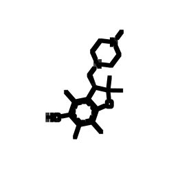 Cc1c(C)c2c(c(C)c1O)[C@@H](CN1CCN(C)CC1)C(C)(C)O2